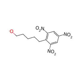 [O]CCCCCc1c([N+](=O)[O-])cc([N+](=O)[O-])cc1[N+](=O)[O-]